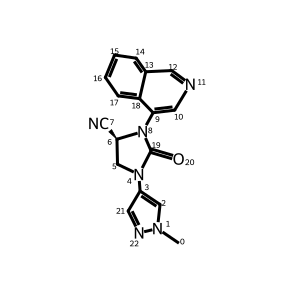 Cn1cc(N2C[C@@H](C#N)N(c3cncc4ccccc34)C2=O)cn1